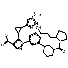 CCCCC1CCCN1C(=O)C1CCCC(c2cccc(-n3ncc(C(=O)O)c3C3CC3c3cn(C)nn3)c2)C1